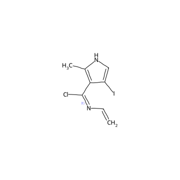 C=C/N=C(/Cl)c1c(I)c[nH]c1C